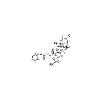 CC(=O)O[C@]1(C(=O)COC(=O)Cc2ccccc2)CC[C@H]2[C@@H]3CCC4=CC(=O)C=C[C@]4(C)[C@H]3C(O)C[C@@]21C